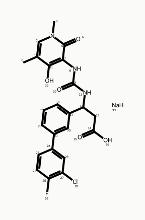 Cc1cn(C)c(=O)c(NC(=O)NC(CC(=O)O)c2cccc(-c3ccc(F)c(Cl)c3)c2)c1O.[NaH]